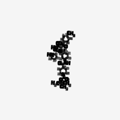 Cc1ccc(S(=O)(=O)[C@@](Cc2ccc(NC(=O)C3CCN(C(=O)OC(C)(C)C)CC3)cc2)(NC(=O)[C@@H]2CCCN2)C(=O)O)cc1